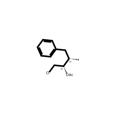 CC(=O)O[C@H](CCl)[C@@H](C)Cc1ccccc1